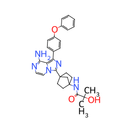 CC(C)(O)C(=O)NC12CCC(c3nc(-c4ccc(Oc5ccccc5)cc4)c4c(N)nccn34)(CC1)C2